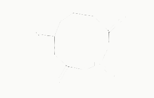 NC1CCCC(=O)O[PH](=O)OC(=O)C1